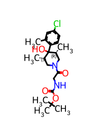 Cc1cc(Cl)ccc1C1(O)[C@H](C)CN(C(=O)CNC(=O)OC(C)(C)C)C[C@@H]1C